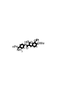 CCC[C@H](N)c1ccc(NC(=O)c2cc3ccc(OC)c(OCC)c3oc2=O)cc1